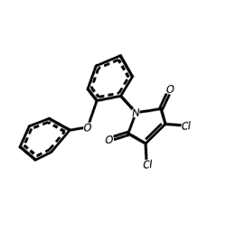 O=C1C(Cl)=C(Cl)C(=O)N1c1ccccc1Oc1ccccc1